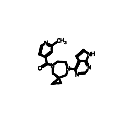 Cc1cc(C(=O)N2CCN(c3ncnc4[nH]ccc34)CC3(CC3)C2)ccn1